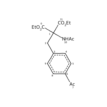 CCOC(=O)C(Cc1ccc(C(C)=O)cc1)(NC(C)=O)C(=O)OCC